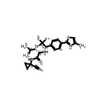 Cc1csc(-c2ccc([C@H](N[C@@H](CC(C)C)C(=O)NC3(C#N)CC3)C(F)(F)F)cc2)n1